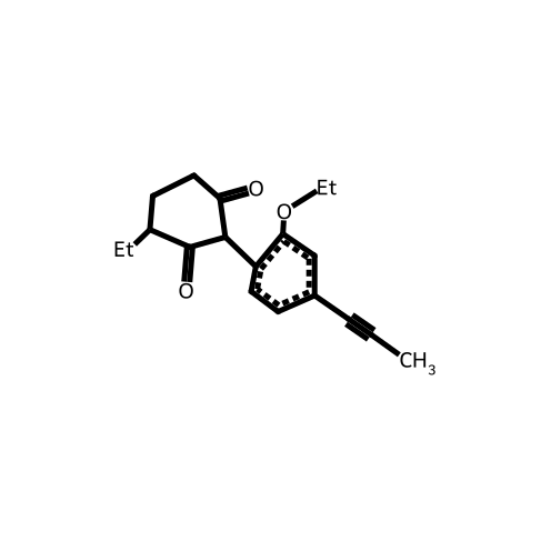 CC#Cc1ccc(C2C(=O)CCC(CC)C2=O)c(OCC)c1